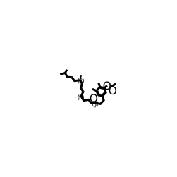 CC(=O)Oc1cc2c(c(C)c1C)O[C@](C)(CCC[C@H](C)CCC[C@H](C)CCCC(C)C)CC2